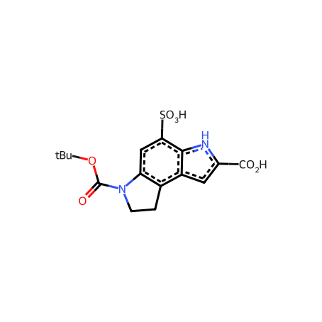 CC(C)(C)OC(=O)N1CCc2c1cc(S(=O)(=O)O)c1[nH]c(C(=O)O)cc21